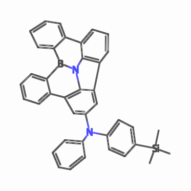 C[Si](C)(C)c1ccc(N(c2ccccc2)c2cc3c4c(c2)c2cccc5c2n4B(c2ccccc2-5)c2ccccc2-3)cc1